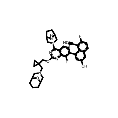 C#Cc1c(F)ccc2cc(O)cc(-c3c(F)cc4c(N5CC6CCC(C5)N6)nc(OCC5(CN6CC7CCCC(C6)O7)CC5)nc4c3F)c12